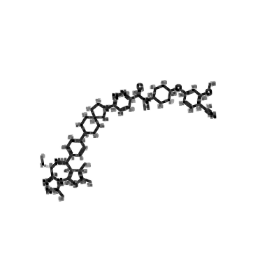 CC[C@@H]1N=C(c2ccc(C3CCC4(CC3)CCN(c3ccc(C(=O)NC5CCC(Oc6ccc(C#N)c(OC)c6)CC5)nn3)C4)cc2)c2c(sc(C)c2C)-n2c(C)nnc21